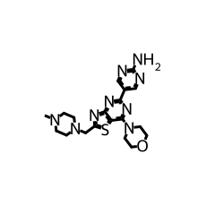 CN1CCN(Cc2nc3nc(-c4cnc(N)nc4)nc(N4CCOCC4)c3s2)CC1